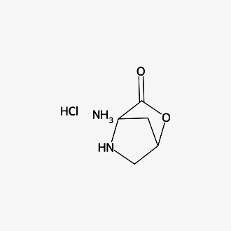 Cl.N.O=C1OC2CNC1C2